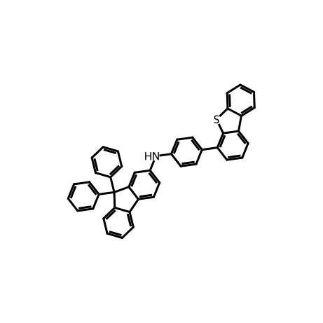 c1ccc(C2(c3ccccc3)c3ccccc3-c3ccc(Nc4ccc(-c5cccc6c5sc5ccccc56)cc4)cc32)cc1